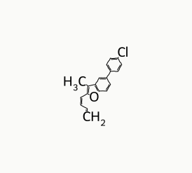 C=C/C=C\c1oc2ccc(-c3ccc(Cl)cc3)cc2c1C